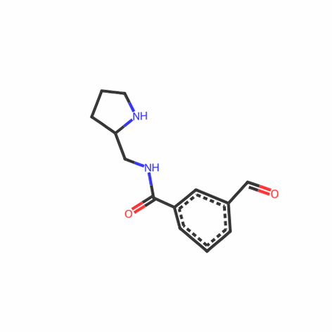 O=Cc1cccc(C(=O)NCC2CCCN2)c1